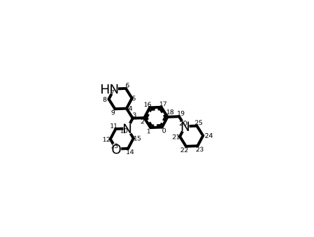 c1cc(C(C2CCNCC2)N2CCOCC2)ccc1CN1CCCCC1